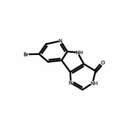 O=c1[nH]cnc2c1[nH]c1ncc(Br)cc12